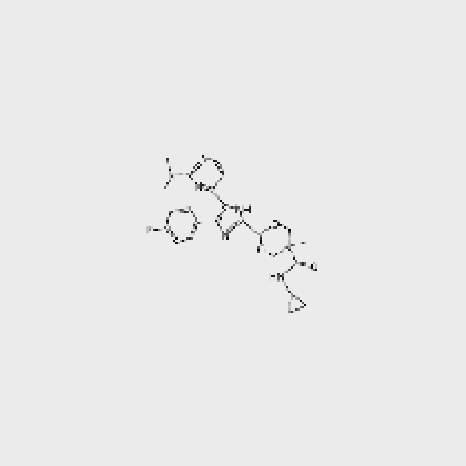 CN(C)c1nccc(-c2[nH]c(C3OCC(C)(C(=O)NC4CC4)CO3)nc2-c2ccc(F)cc2)n1